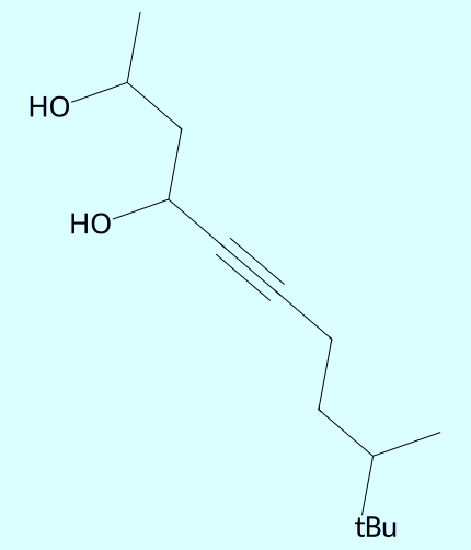 CC(O)CC(O)C#CCCC(C)C(C)(C)C